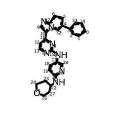 c1ccc(-c2ccc3ncc(-c4ccnc(Nc5ccc(NC6CCOCC6)nc5)n4)n3c2)cc1